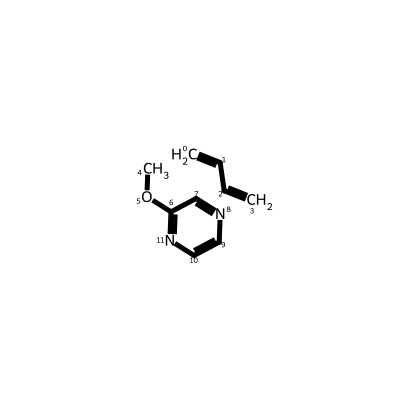 C=CC=C.COc1cnccn1